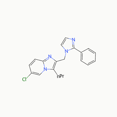 CCCc1c(Cn2ccnc2-c2ccccc2)nc2ccc(Cl)cn12